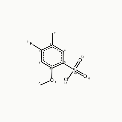 COc1cc(F)c(C)cc1S(=O)(=O)Cl